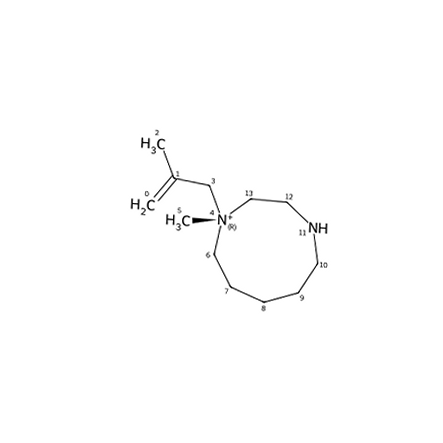 C=C(C)C[N@@+]1(C)CCCCCNCC1